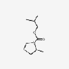 CC(C)COC(=O)N1CSCC1C